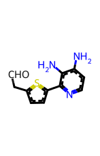 Nc1ccnc(-c2ccc(CC=O)s2)c1N